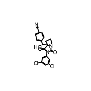 N#Cc1ccc(C(O)C23CCCN2C(=O)N(c2cc(Cl)cc(Cl)c2)C3=O)cc1